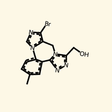 Cc1ccc2c(c1)-c1nnc(CO)n1Cc1c(Br)ncn1-2